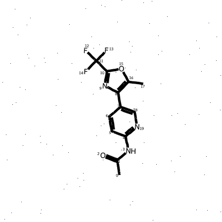 CC(=O)Nc1ccc(-c2nc(C(F)(F)F)oc2C)cn1